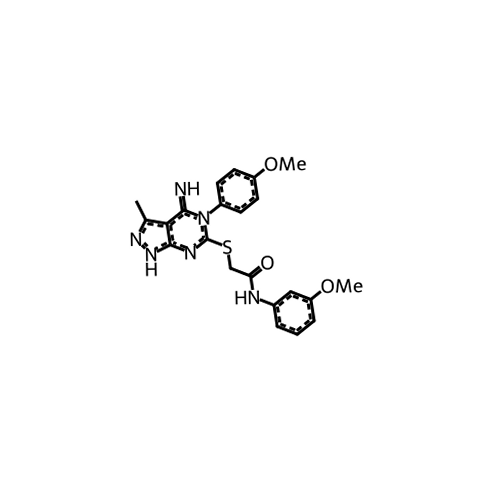 COc1ccc(-n2c(SCC(=O)Nc3cccc(OC)c3)nc3[nH]nc(C)c3c2=N)cc1